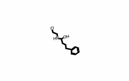 OC(CCCc1ccccc1)NCCCl